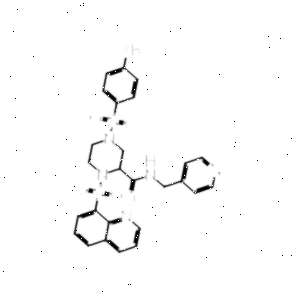 CC(C)(C)c1ccc(S(=O)(=O)N2CCN(S(=O)(=O)c3cccc4cccnc34)C(C(=O)NCc3ccncc3)C2)cc1